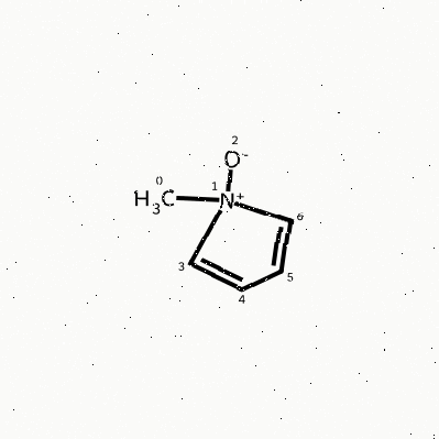 C[N+]1([O-])C=CC=C1